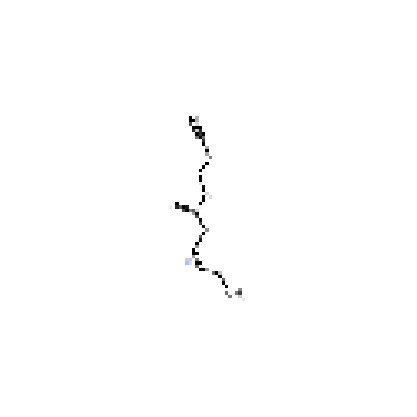 CC/C=C\CC(=O)OCCC#N